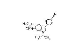 CC(C)n1cc(-c2ccc(C#N)cn2)c2ccc(NS(C)(=O)=O)cc21